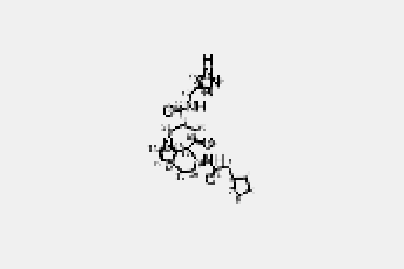 O=C(CC1CCCC1)N[C@H]1CCc2ccn3c2C1C(=O)C[C@H](C(=O)NCc1c[nH]nn1)C3